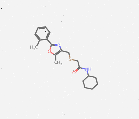 Cc1ccccc1-c1nc(CSCC(=O)NC2CCCCC2)c(C)o1